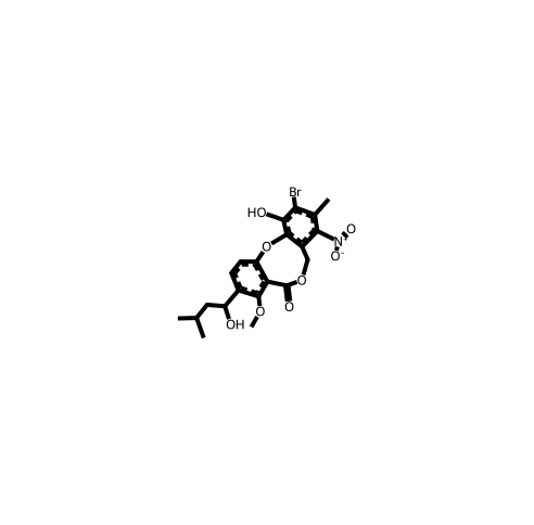 COc1c(C(O)CC(C)C)ccc2c1C(=O)OCc1c(c(O)c(Br)c(C)c1[N+](=O)[O-])O2